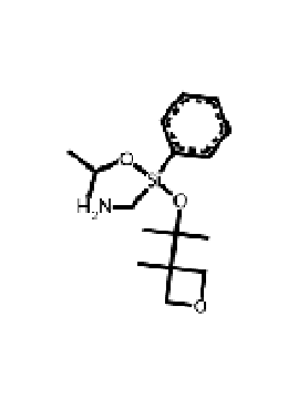 CC(C)O[Si](CN)(OC(C)(C)C1(C)COC1)c1ccccc1